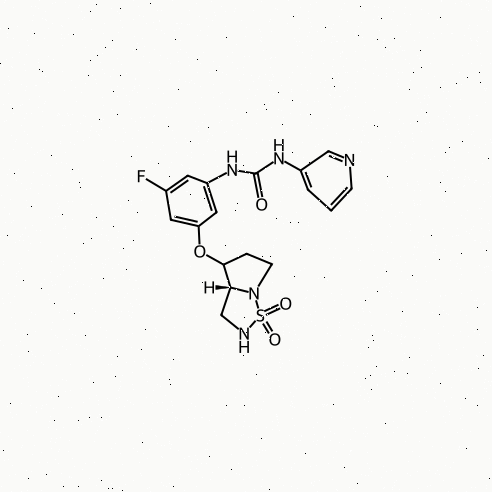 O=C(Nc1cccnc1)Nc1cc(F)cc(OC2CCN3[C@@H]2CNS3(=O)=O)c1